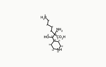 BCCCCC(N)(C(=O)O)C(O)C1CCNCC1